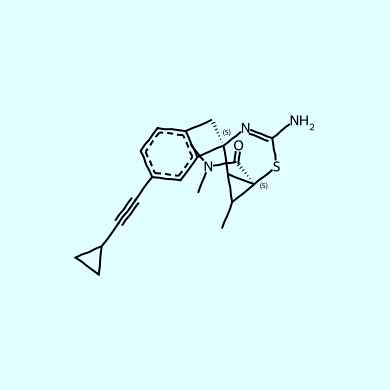 CC1C2[C@@]1(C(=O)N(C)C)SC(N)=N[C@@]21Cc2ccc(C#CC3CC3)cc21